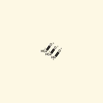 [O]=[GaH].[O]=[GaH].[O]=[InH]